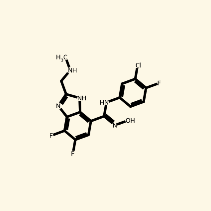 CNCc1nc2c(F)c(F)cc(/C(=N/O)Nc3ccc(F)c(Cl)c3)c2[nH]1